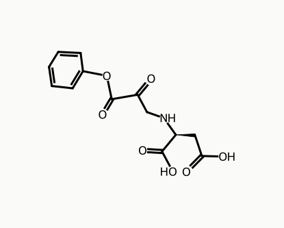 O=C(O)C[C@H](NCC(=O)C(=O)Oc1ccccc1)C(=O)O